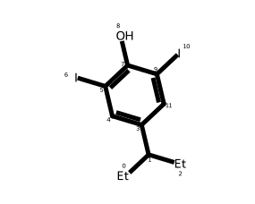 CCC(CC)c1cc(I)c(O)c(I)c1